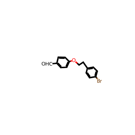 O=Cc1ccc(OCCc2ccc(Br)cc2)cc1